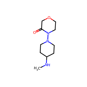 CNC1CCN(N2CCOCC2=O)CC1